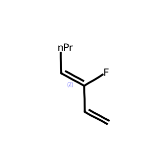 C=C/C(F)=C/CCC